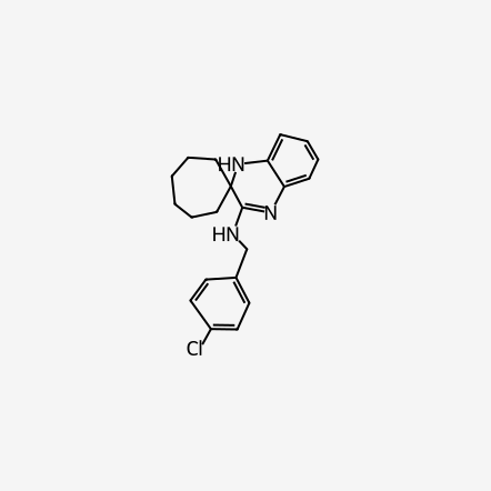 Clc1ccc(CNC2=Nc3ccccc3NC23CCCCCC3)cc1